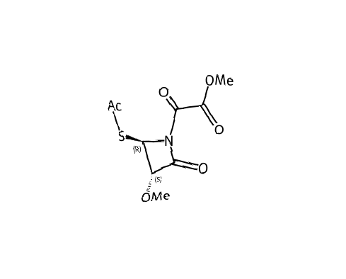 COC(=O)C(=O)N1C(=O)[C@H](OC)[C@H]1SC(C)=O